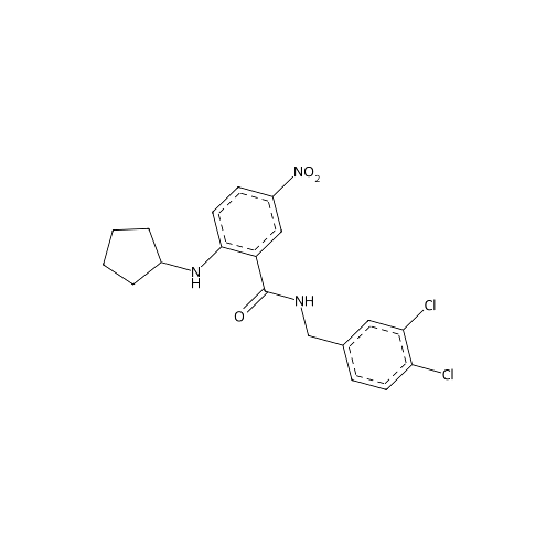 O=C(NCc1ccc(Cl)c(Cl)c1)c1cc([N+](=O)[O-])ccc1NC1CCCC1